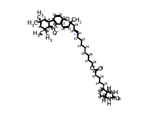 CC1(C)C=C2C(=[N+]([O-])c3c2ccc2c3C=CC(C)(C/C=C/CCCCCCCCOC(=O)CCCC[C@@H]3SC[C@@H]4NC(=O)N[C@@H]43)O2)C(C)(C)C1